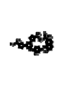 CN(C)C1CCN(c2nc(Nc3ccc(/N=N/c4c(O)ccc5ccc([N+](C)(C)C)cc45)cc3)nc(N3CCC(N(C)C)C3)n2)C1.[Cl-]